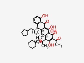 CC(=O)C1=C(O)C(C(C)C)[C@@]2(C)[C@H](CC(=O)C3CCCCC3)[C@]3(C)C(=C(O)[C@@]2(O)C1=O)C(=O)c1c(O)cccc1[C@H]3CCC1CCCC1